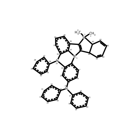 C[Si]1(C)C2=C(B3c4ccc(N(c5ccccc5)c5ccccc5)cc4N(c4ccccc4)c4cccc2c43)C2C=CC=CC21